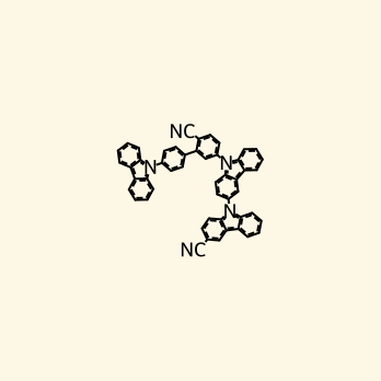 N#Cc1ccc2c(c1)c1ccccc1n2-c1ccc2c(c1)c1ccccc1n2-c1ccc(C#N)c(-c2ccc(-n3c4ccccc4c4ccccc43)cc2)c1